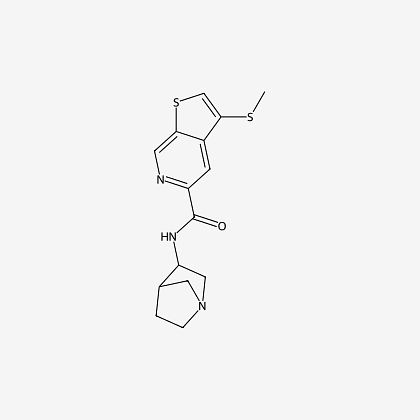 CSc1csc2cnc(C(=O)NC3CN4CCC3C4)cc12